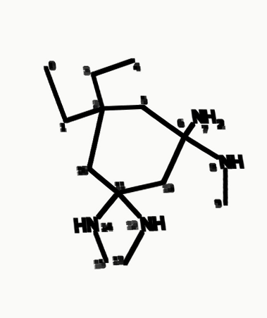 CCC1(CC)CC(N)(NC)CC(NC)(NC)C1